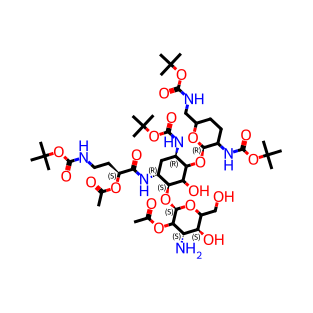 CC(=O)OC1[C@@H](O[C@@H]2C(O)C(O[C@H]3OC(CNC(=O)OC(C)(C)C)CCC3NC(=O)OC(C)(C)C)[C@H](NC(=O)OC(C)(C)C)C[C@H]2NC(=O)[C@H](CCNC(=O)OC(C)(C)C)OC(C)=O)OC(CO)[C@@H](O)[C@@H]1N